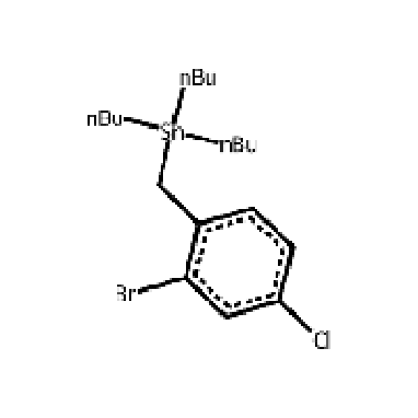 CCC[CH2][Sn]([CH2]CCC)([CH2]CCC)[CH2]c1ccc(Cl)cc1Br